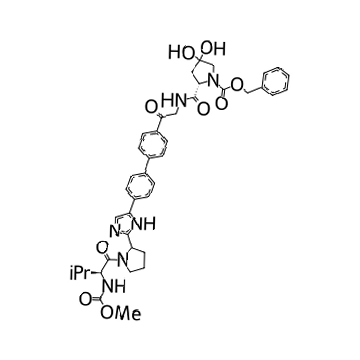 COC(=O)N[C@H](C(=O)N1CCCC1c1ncc(-c2ccc(-c3ccc(C(=O)CNC(=O)[C@@H]4CC(O)(O)CN4C(=O)OCc4ccccc4)cc3)cc2)[nH]1)C(C)C